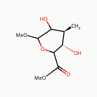 COC(=O)C1OC(OC)C(O)[C@@H](C)[C@@H]1O